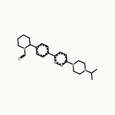 CC(C)N1CCN(c2ccc(-c3ccc(C4CCCCN4C=O)cc3)nn2)CC1